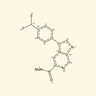 CNC(=O)c1cn2c(-c3ccc(C(F)F)cc3)cnc2cn1